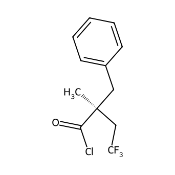 C[C@](Cc1ccccc1)(CC(F)(F)F)C(=O)Cl